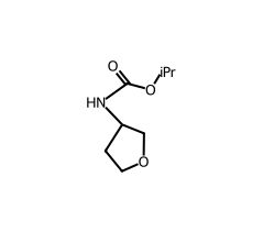 CC(C)OC(=O)NC1CCOC1